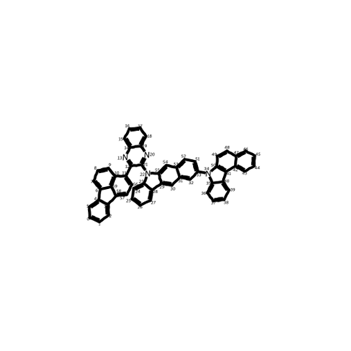 c1ccc2c(c1)-c1cccc3c(-c4nc5ccccc5nc4-n4c5ccccc5c5cc6cc(-n7c8ccccc8c8c9ccccc9ccc87)ccc6cc54)ccc-2c13